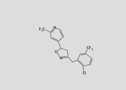 FC(F)(F)c1ccc(Cl)c(CC2=NOC(c3ccnc(C(F)(F)F)c3)C2)c1